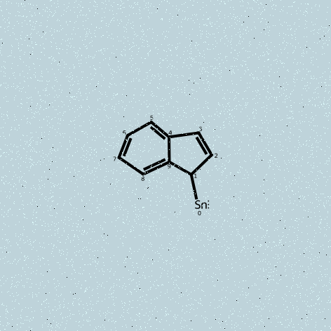 [Sn][CH]1C=Cc2ccccc21